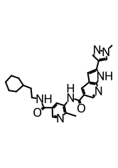 Cc1ncc(C(=O)NCCC2CCCCC2)cc1NC(=O)c1cnc2[nH]c(-c3cnn(C)c3)cc2c1